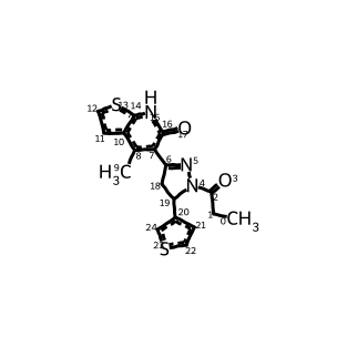 CCC(=O)N1N=C(c2c(C)c3ccsc3[nH]c2=O)CC1c1ccsc1